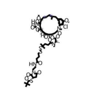 COc1cc2cc(c1Cl)N(C)C(=O)C[C@H](OC(=O)[C@H](C)N(C)C(=O)CCC(C)(C)SSCCCC(=O)NCCN1C(=O)CC(SC(=O)C(C)(C)C)C1=O)[C@]1(C)O[C@H]1[C@H](C)[C@@H]1C[C@@](O)(NC(=O)O1)[C@H](OC)/C=C/C=C(\C)C2